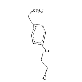 [CH2]Cc1ccc(OCC[O])cc1